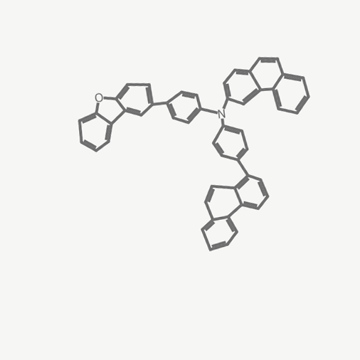 c1ccc2c(c1)ccc1ccc(N(c3ccc(-c4ccc5oc6ccccc6c5c4)cc3)c3ccc(-c4cccc5c4ccc4ccccc45)cc3)cc12